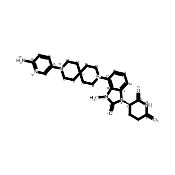 Cn1c(=O)n([C@@H]2CCC(=O)NC2=O)c2cccc(N3CCC4(CCN(c5ccc(N)nc5)CC4)CC3)c21